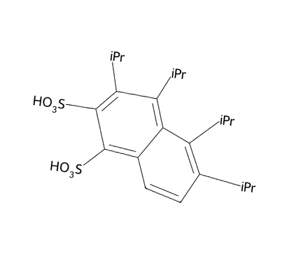 CC(C)c1ccc2c(S(=O)(=O)O)c(S(=O)(=O)O)c(C(C)C)c(C(C)C)c2c1C(C)C